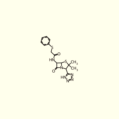 CC1(C)SC2C(NC(=O)CSc3ccccc3)C(=O)N2C1c1nnn[nH]1